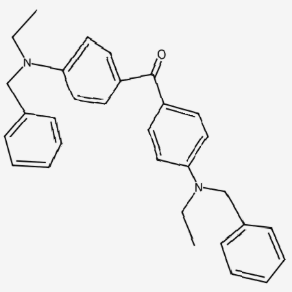 CCN(Cc1ccccc1)c1ccc(C(=O)c2ccc(N(CC)Cc3ccccc3)cc2)cc1